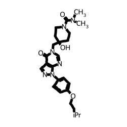 CC(C)CCOc1ccc(-n2ncc3c(=O)n(CC4(O)CCN(C(=O)N(C)C)CC4)cnc32)cc1